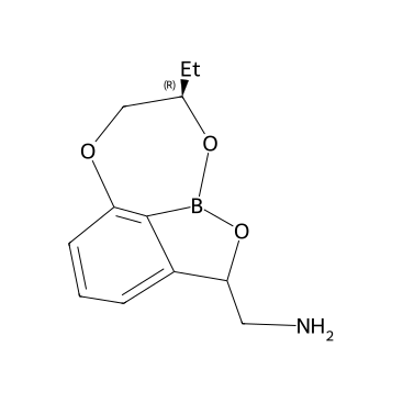 CC[C@@H]1COc2cccc3c2B(OC3CN)O1